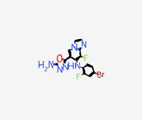 Nc1nnc(-c2cn3ccnc3c(F)c2Nc2ccc(Br)cc2F)o1